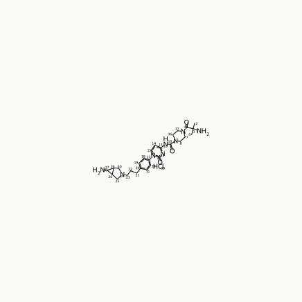 CC(C)(N)C(=O)N1CCN(C(=O)Nc2ccn(-c3ccc(CCCN4CC5C(N)C5C4)cc3)c(=O)n2)CC1.Cl